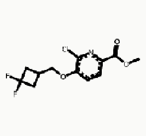 COC(=O)c1ccc(OCC2CC(F)(F)C2)c(Cl)n1